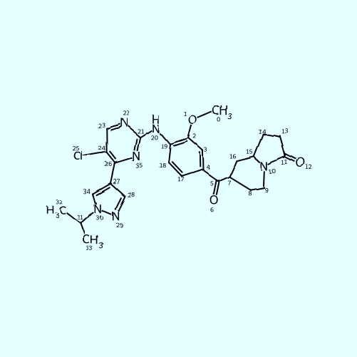 COc1cc(C(=O)C2CCN3C(=O)CCC3C2)ccc1Nc1ncc(Cl)c(-c2cnn(C(C)C)c2)n1